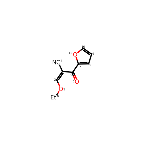 CCO/C=C(/C#N)C(=O)c1ccco1